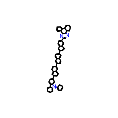 c1ccc(-n2c3ccccc3c3ccc(-c4ccc5cc(-c6ccc7cc(-c8ccc9cc(-c%10cnc%11c%12ccccc%12c%12ccccc%12c%11n%10)ccc9c8)ccc7c6)ccc5c4)cc32)cc1